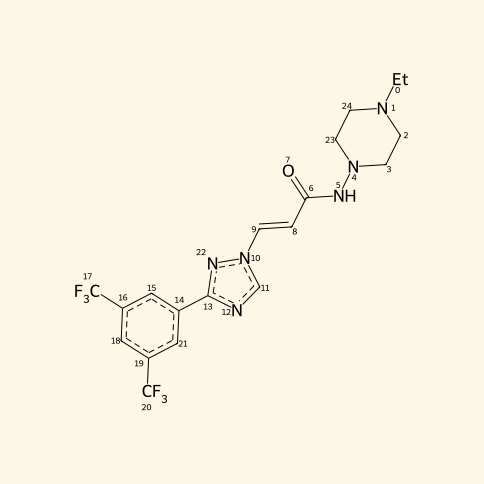 CCN1CCN(NC(=O)C=Cn2cnc(-c3cc(C(F)(F)F)cc(C(F)(F)F)c3)n2)CC1